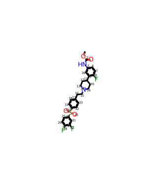 COC(=O)Nc1ccc(F)c(C2CCN(CCc3ccc(S(=O)(=O)c4ccc(F)c(F)c4)cc3)CC2)c1